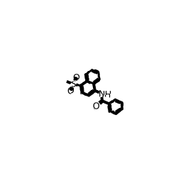 CS(=O)(=O)c1ccc(NC(=O)c2ccccc2)c2ccccc12